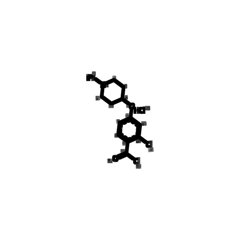 CC(C)N1CCC(Oc2ccc(C(=O)Cl)c(Cl)c2)CC1.Cl